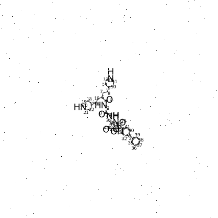 O=C(CNC(=O)C(CCC1CCNCC1)CCC1CCNCC1)NCC(NS(=O)(=O)c1ccc(-c2ccccc2)cc1)C(=O)O